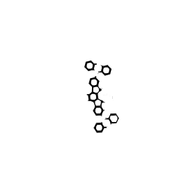 Cc1c(C)c2c(c3c1-c1ccc(N4C5=C(CCC=C5)Sc5ccccc54)cc1C3(C)C)C(C)(C)c1cc(N3c4ccccc4Sc4ccccc43)ccc1-2